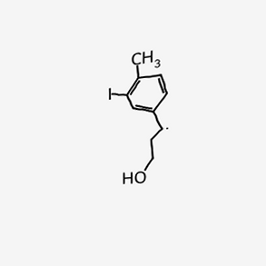 Cc1ccc([CH]CCO)cc1I